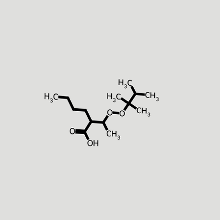 CCCCC(C(=O)O)C(C)OOC(C)(C)C(C)C